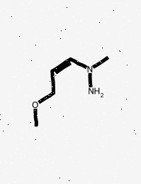 COC/C=C\N(C)N